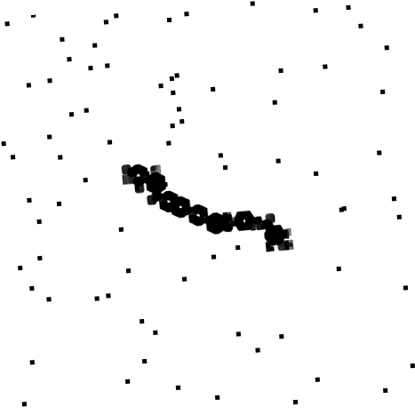 O=C1CCN(c2cc(C(=O)N3CCC4(CCC(N5CCN(c6ccc7cn([C@H]8CC[C@H](CNC(=O)c9cc(F)c(O)c(F)c9)CC8)nc7c6)CC5)CC4)CC3)ccc2Cl)C(=O)N1